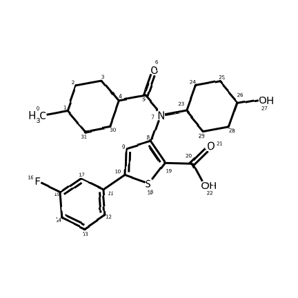 CC1CCC(C(=O)N(c2cc(-c3cccc(F)c3)sc2C(=O)O)C2CCC(O)CC2)CC1